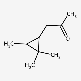 CC(=O)CC1C(C)C1(C)C